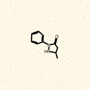 CC1CC(=O)N(c2ccccc2)N1